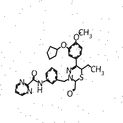 CCC1SC(C=O)N(Cc2cccc(NC(=O)c3ncccn3)c2)N=C1c1ccc(OC)c(OC2CCCC2)c1